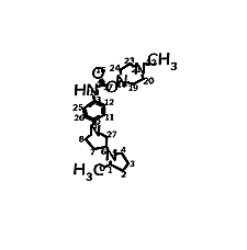 CC1CCCN1C1CCN(c2ccc(NC(=O)ON3CCN(C)CC3)cc2)C1